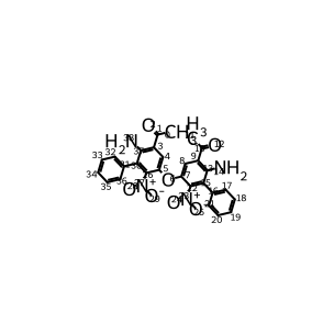 CC(=O)c1cc(Oc2cc(C(C)=O)c(N)c(-c3ccccc3)c2[N+](=O)[O-])c([N+](=O)[O-])c(-c2ccccc2)c1N